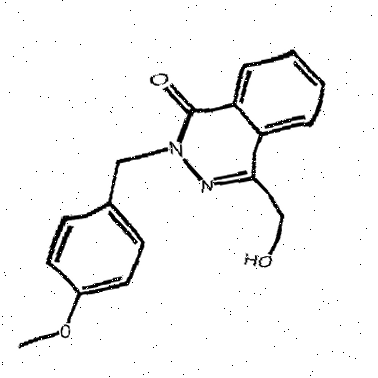 COc1ccc(Cn2nc(CO)c3ccccc3c2=O)cc1